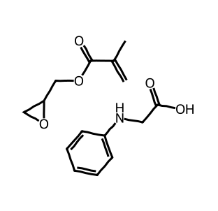 C=C(C)C(=O)OCC1CO1.O=C(O)CNc1ccccc1